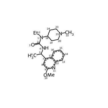 CCN(C(=O)NC(C)c1cc(OC)nc2ccccc12)C1CCN(C)CC1